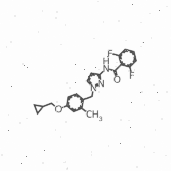 Cc1cc(OCC2CC2)ccc1Cn1ccc(NC(=O)c2c(F)cccc2F)n1